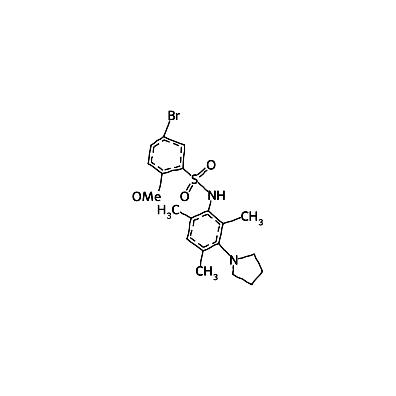 COc1ccc(Br)cc1S(=O)(=O)Nc1c(C)cc(C)c(N2CCCC2)c1C